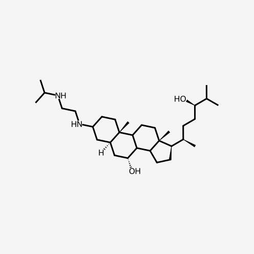 CC(C)NCCNC1CC[C@]2(C)C3CC[C@@]4(C)C(CC[C@@H]4[C@H](C)CC[C@@H](O)C(C)C)C3[C@H](O)C[C@H]2C1